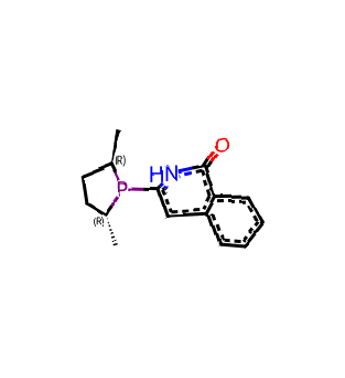 C[C@@H]1CC[C@@H](C)P1c1cc2ccccc2c(=O)[nH]1